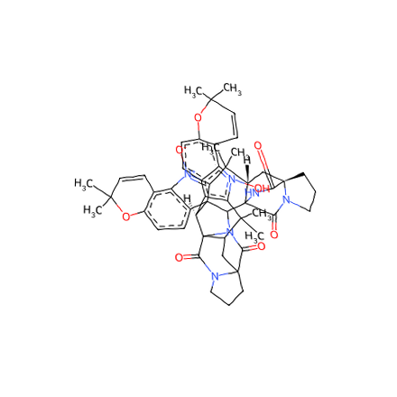 CC1(C)C=Cc2c(ccc3c2[N+]([O-])=C2C(C)(C)[C@@H]4C[C@]56CCCN5C(=O)C4(NC6=O)C4N5C(=O)C67CCCN6C(=O)C56C(C7)C(C)(C)c5c(c7ccc8c(c7n5O)C=CC(C)(C)O8)[C@H]6C234)O1